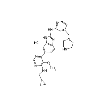 COc1c(NCC2CC2)ncnc1-c1ccc2nc(Nc3cc(CN4CCNCC4)ccn3)[nH]c2c1.Cl